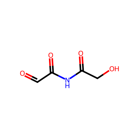 O=CC(=O)NC(=O)CO